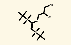 CC(C)(C)[Si](C)(C)C=C(OCC(O)CO)[Si](C)(C)C(C)(C)C